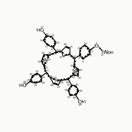 CCCCCCCCCOc1ccc(-c2c3nc(c(-c4ccc(O)cc4)c4ccc([nH]4)c(-c4ccc(O)cc4)c4nc(c(-c5ccc(O)cc5)c5ccc2[nH]5)C=C4)C=C3)cc1